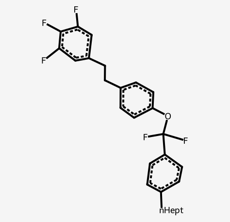 CCCCCCCc1ccc(C(F)(F)Oc2ccc(CCc3cc(F)c(F)c(F)c3)cc2)cc1